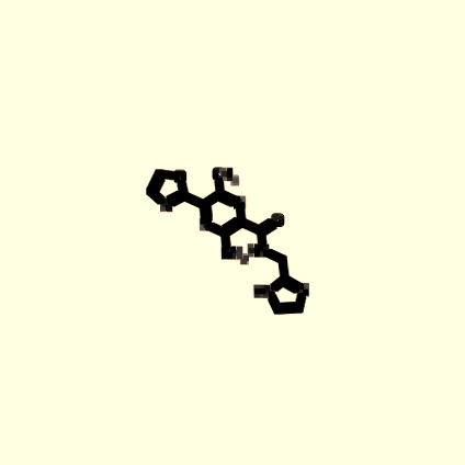 Cc1nc(C(=O)NCc2ncc[nH]2)c(N)nc1-c1ncco1